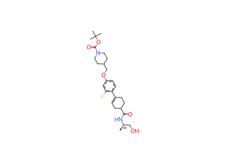 C[C@H](CO)NC(=O)C1CC=C(c2ccc(OCC3CCN(C(=O)OC(C)(C)C)CC3)cc2F)CC1